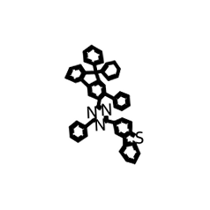 C1=CC(C2(c3ccccc3)c3ccccc3-c3cc(-c4nc(-c5ccccc5)nc(-c5ccc6sc7ccccc7c6c5)n4)c(-c4ccccc4)cc32)=CCC1